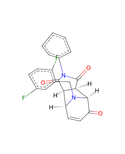 O=C1C=C[C@H]2[C@H]3C(=O)N(c4ccccc4)C(=O)[C@H]3[C@@H]1N2Cc1cc(F)ccc1F